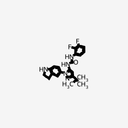 CC(C)(C)c1cc(NC(=O)Nc2cccc(F)c2F)n(-c2ccc3c(c2)CCN3)n1